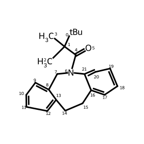 CC(C)(C)C(C)(C)C(=O)N1Cc2ccccc2CCc2ccccc21